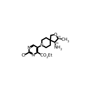 CCOC(=O)c1nc(Cl)ncc1N1CCC2(CC1)CO[C@@H](C)[C@H]2N